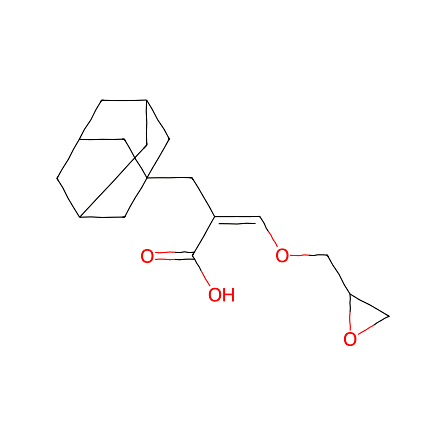 O=C(O)C(=COCC1CO1)CC12CC3CC(CC(C3)C1)C2